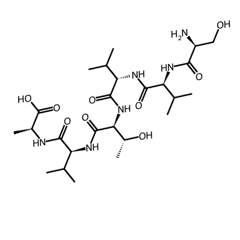 CC(C)[C@H](NC(=O)[C@@H](NC(=O)[C@@H](N)CO)C(C)C)C(=O)N[C@H](C(=O)N[C@H](C(=O)N[C@@H](C)C(=O)O)C(C)C)[C@@H](C)O